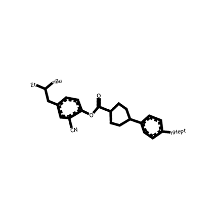 CCCCCCCc1ccc(C2CCC(C(=O)Oc3ccc(CC(CC)CCCC)cc3C#N)CC2)cc1